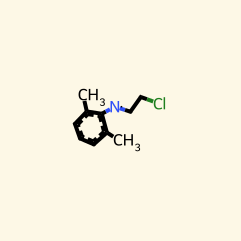 Cc1cccc(C)c1[N]CCCl